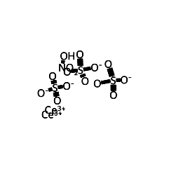 O=S(=O)([O-])[O-].O=S(=O)([O-])[O-].O=S(=O)([O-])[O-].O=[N+]([O-])O.[Ce+3].[Ce+3]